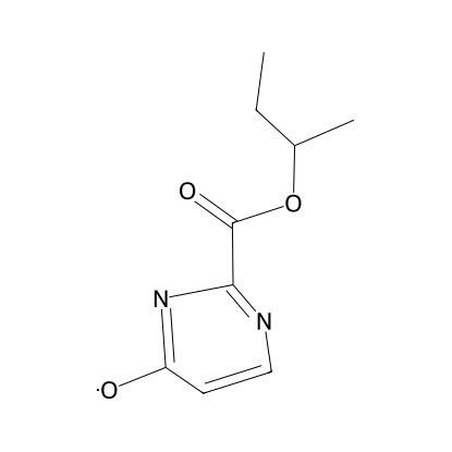 CCC(C)OC(=O)c1nccc([O])n1